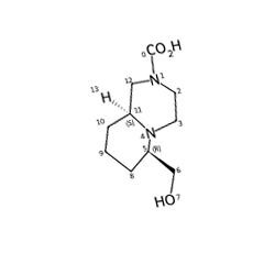 O=C(O)N1CCN2[C@@H](CO)CCC[C@H]2C1